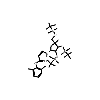 Cc1cccc(C)c1OC(=N)/C=C\N[C@@H]1OC(F)(CO[Si](C)(C)C(C)(C)C)C(O[Si](C)(C)C(C)(C)C)C1O[Si](C)(C)C(C)(C)C